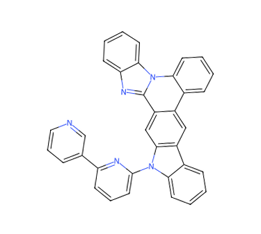 c1cncc(-c2cccc(-n3c4ccccc4c4cc5c6ccccc6n6c7ccccc7nc6c5cc43)n2)c1